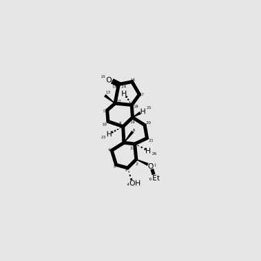 CCO[C@H]1[C@H](O)CC[C@]2(C)[C@H]3CC[C@]4(C)C(=O)CC[C@H]4[C@@H]3CC[C@@H]12